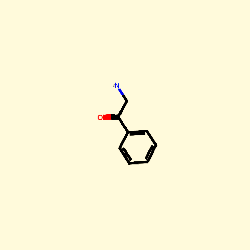 [N]CC(=O)c1ccccc1